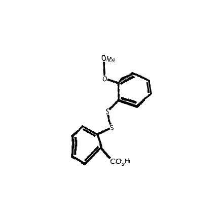 COOc1ccccc1SSc1ccccc1C(=O)O